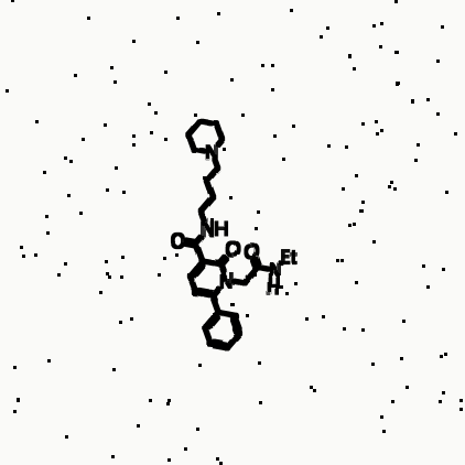 CCNC(=O)Cn1c(-c2ccccc2)ccc(C(=O)NCCCCN2CCCCC2)c1=O